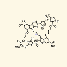 CCn1nc(C)cc1C(=O)Nc1nc2cc(C(N)=O)cc(OCCCOC(=O)c3cc(C)nn3CC)c2n1C/C=C/Cn1c2nc(-c3cc(C)nn3CC)ncc2c2cc(C(N)=O)cc(OCCCNC(=O)OC(C)(C)C)c21